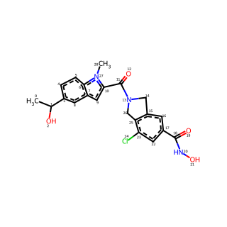 CC(O)c1ccc2c(c1)cc(C(=O)N1Cc3cc(C(=O)NO)cc(Cl)c3C1)n2C